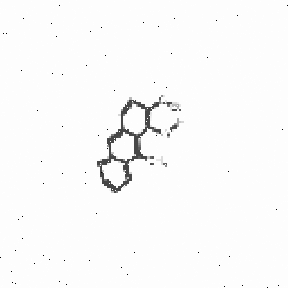 CCOc1ccc2cc3ccccc3c(C)c2c1OCC